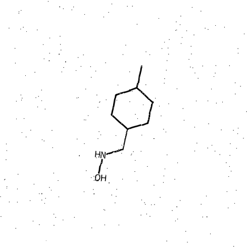 CC1CCC(CNO)CC1